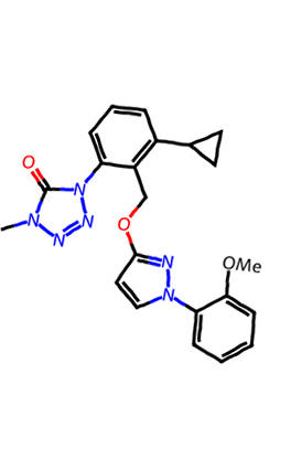 COc1ccccc1-n1ccc(OCc2c(C3CC3)cccc2-n2nnn(C)c2=O)n1